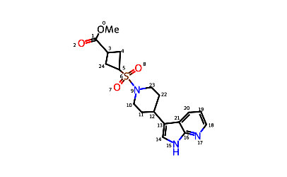 COC(=O)C1CC(S(=O)(=O)N2CCC(c3c[nH]c4ncccc34)CC2)C1